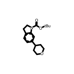 CC(C)(C)OC(=O)N1CCc2ccc(C3CCOCC3)cc21